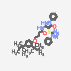 CCC(C)(C)c1ccc(OCCCC(=O)Nc2[nH]n(-c3ccccc3)c(=O)c2Sc2nnnn2-c2ccccc2)c(C(C)(C)CC)c1